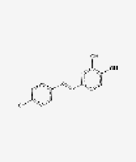 Oc1ccc(C=Cc2ccc(Cl)cc2)cc1O